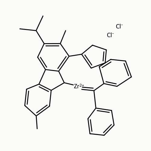 Cc1ccc2c(c1)[CH]([Zr+2]=[C](c1ccccc1)c1ccccc1)c1c-2cc(C(C)C)c(C)c1C1=CC=CC1.[Cl-].[Cl-]